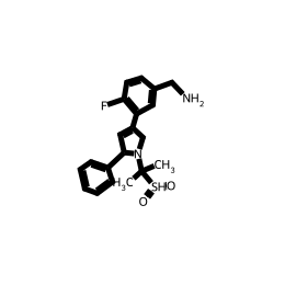 CC(C)(N1CC(c2cc(CN)ccc2F)=CC1c1ccccc1)[SH](=O)=O